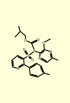 COc1nc(C)cnc1N(C(=O)OCC(C)C)S(=O)(=O)c1cccnc1-c1ccc(C)cc1